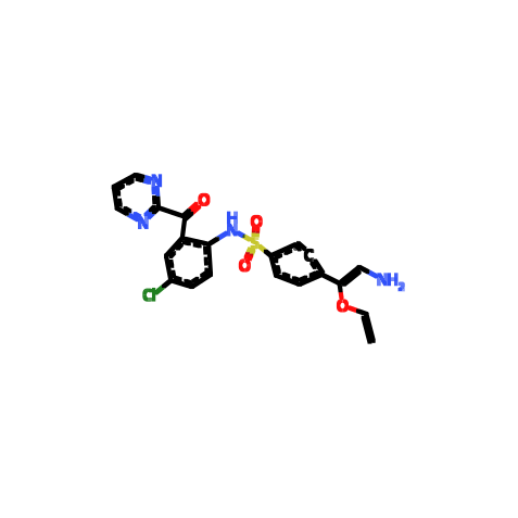 C=CO/C(=C\N)c1ccc(S(=O)(=O)Nc2ccc(Cl)cc2C(=O)c2ncccn2)cc1